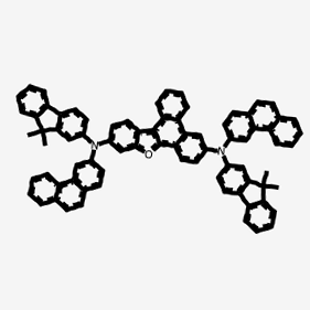 CC1(C)c2ccccc2-c2ccc(N(c3ccc4c(c3)oc3c5ccc(N(c6ccc7c(c6)C(C)(C)c6ccccc6-7)c6ccc7ccc8ccccc8c7c6)cc5c5ccccc5c43)c3ccc4ccc5ccccc5c4c3)cc21